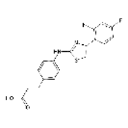 O=C(O)CCc1ccc(Nc2nc(-c3ccc(F)cc3F)cs2)cc1